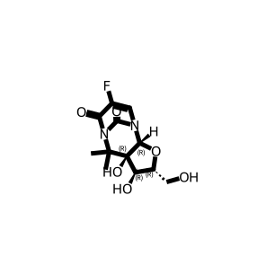 CC1(C)n2c(=O)c(F)cn(c2=O)[C@@H]2O[C@H](CO)[C@@H](O)[C@@]21O